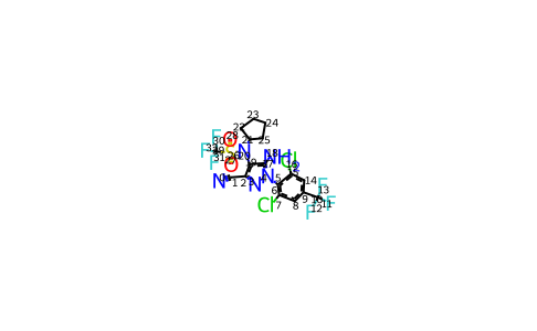 N#Cc1nn(-c2c(Cl)cc(C(F)(F)F)cc2Cl)c(N)c1N(C1CCCC1)S(=O)(=O)C(F)(F)F